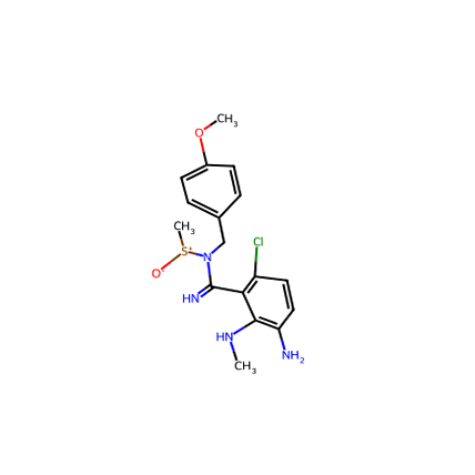 CNc1c(N)ccc(Cl)c1C(=N)N(Cc1ccc(OC)cc1)[S+](C)[O-]